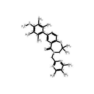 Bc1nc(CN2CC(B)(B)Oc3ccc(-c4c(B)c(B)c(OC(F)(F)F)c(B)c4B)cc3C2=O)nc(B)c1B